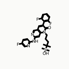 CC(C)(CCCn1c(=O)c(-c2c(F)cccc2F)cc2cnc(Nc3ccc(F)cn3)cc21)[Si](C)(C)O